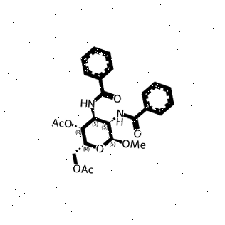 CO[C@H]1O[C@H](COC(C)=O)[C@H](OC(C)=O)[C@@H](NC(=O)c2ccccc2)[C@@H]1NC(=O)c1ccccc1